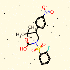 CC(C)(C)C(CN(C(=O)O)S(=O)(=O)c1ccccc1F)c1ccc([N+](=O)[O-])cc1